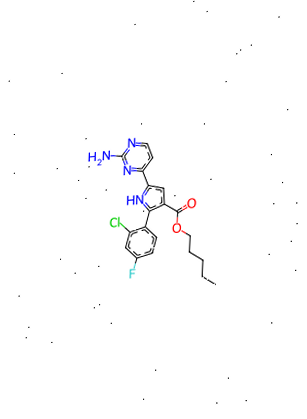 CCCCCOC(=O)c1cc(-c2ccnc(N)n2)[nH]c1-c1ccc(F)cc1Cl